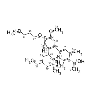 C=C(O)C1=CN2C(=CC1=C)c1cc(OC)c(OCCCOC)cc1[C@@H]1CC(CC)CC(C)(C)[C@H]12